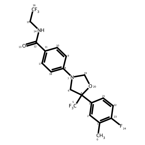 Cc1cc(C2(C(F)(F)F)CN(c3ccc(C(=O)NCC(F)(F)F)cc3)CO2)ccc1F